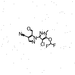 Cn1nc(-n2ncc(C#N)c2C=O)c(Cl)c1OC(F)F